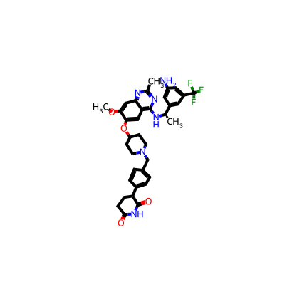 COc1cc2nc(C)nc(N[C@H](C)c3cc(N)cc(C(F)(F)F)c3)c2cc1OC1CCN(Cc2ccc(C3CCC(=O)NC3=O)cc2)CC1